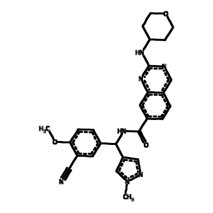 COc1ccc(C(NC(=O)c2ccc3cnc(NC4CCOCC4)nc3c2)c2cnn(C)c2)cc1C#N